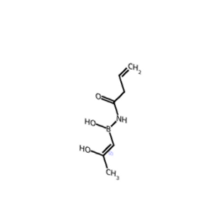 C=CCC(=O)NB(O)/C=C(/C)O